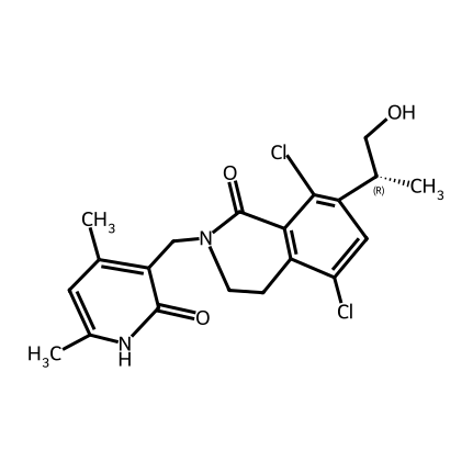 Cc1cc(C)c(CN2CCc3c(Cl)cc([C@@H](C)CO)c(Cl)c3C2=O)c(=O)[nH]1